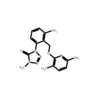 Cc1ccc(C)c(OCc2c(C)cccc2-n2nnn(C)c2=O)n1